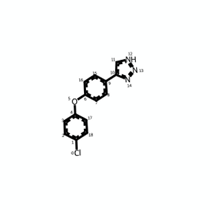 Clc1ccc(Oc2ccc(-c3c[nH]nn3)cc2)cc1